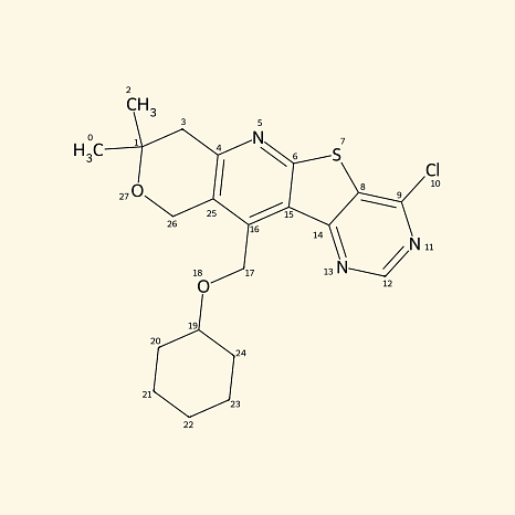 CC1(C)Cc2nc3sc4c(Cl)ncnc4c3c(COC3CCCCC3)c2CO1